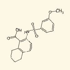 COc1cccc(S(=O)(=O)Nc2ccc3c(c2C(=O)O)CCCC3)c1